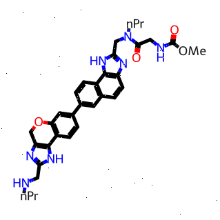 CCCNCc1nc2c([nH]1)-c1ccc(-c3ccc4c(ccc5nc(CN(CCC)C(=O)CNC(=O)OC)[nH]c54)c3)cc1OC2